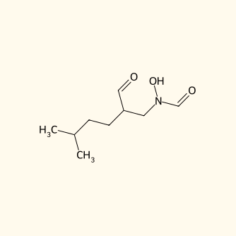 CC(C)CCC(C=O)CN(O)C=O